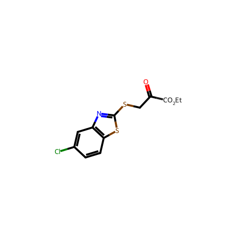 CCOC(=O)C(=O)CSc1nc2cc(Cl)ccc2s1